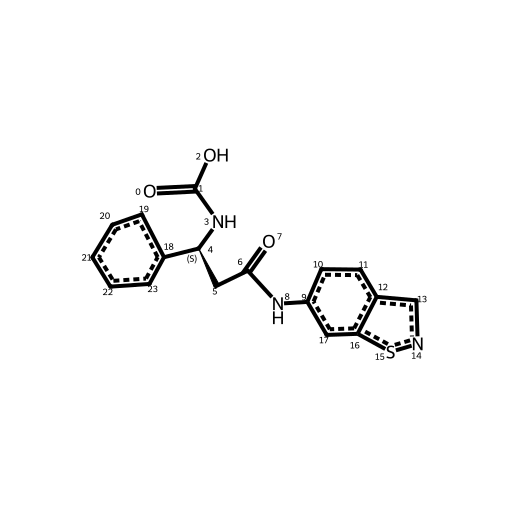 O=C(O)N[C@@H](CC(=O)Nc1ccc2cnsc2c1)c1ccccc1